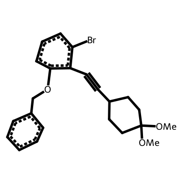 COC1(OC)CCC(C#Cc2c(Br)cccc2OCc2ccccc2)CC1